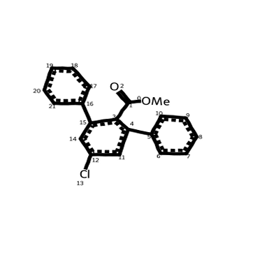 COC(=O)c1c(-c2ccccc2)cc(Cl)cc1-c1ccccc1